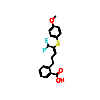 COc1ccc(SC(=CCCc2ccccc2C(=O)O)C(F)F)cc1